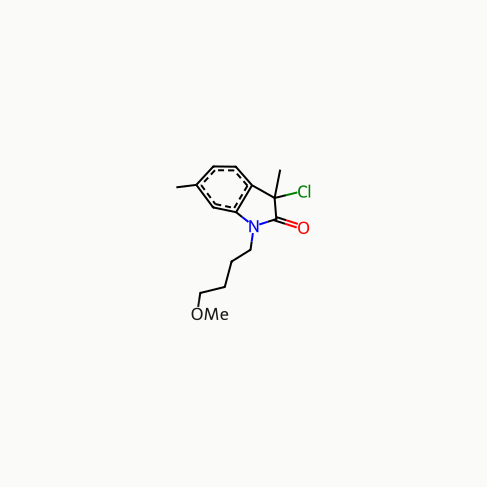 COCCCCN1C(=O)C(C)(Cl)c2ccc(C)cc21